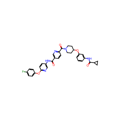 O=C(Nc1ccc(Oc2ccc(F)cc2)nc1)c1ccc(C(=O)N2CCC(Oc3cccc(NC(=O)C4CC4)c3)CC2)nc1